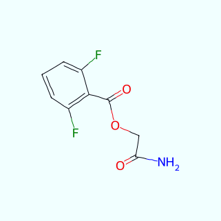 NC(=O)COC(=O)c1c(F)cccc1F